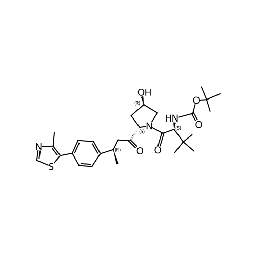 Cc1ncsc1-c1ccc([C@H](C)CC(=O)[C@@H]2C[C@@H](O)CN2C(=O)[C@@H](NC(=O)OC(C)(C)C)C(C)(C)C)cc1